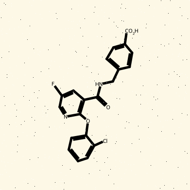 O=C(O)c1ccc(CNC(=O)c2cc(F)cnc2Oc2ccccc2Cl)cc1